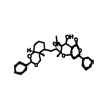 CCC1[C@@H](O)c2c(cc(-c3cccnc3)oc2=O)O[C@]1(C)[C@@H](O)CC1CCC[C@@H]2O[C@H](c3ccccc3)OC[C@@]12C